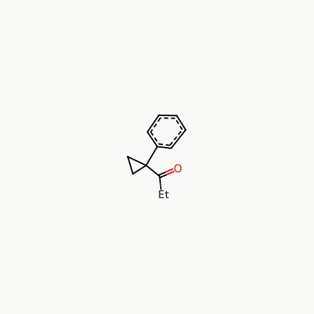 CCC(=O)C1(c2ccccc2)CC1